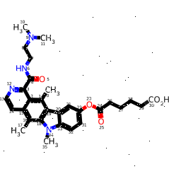 Cc1c2c(C(=O)NCCN(C)C)nccc2c(C)c2c1c1cc(OC(=O)CCCCC(=O)O)ccc1n2C